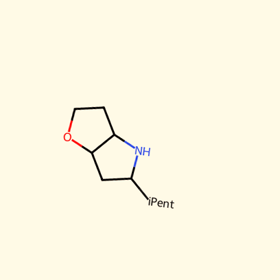 CCCC(C)C1CC2OCCC2N1